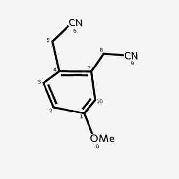 COc1ccc(CC#N)c(CC#N)c1